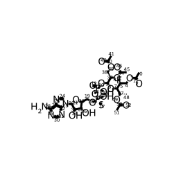 CC(=O)OC[C@H](F)C(OC(OP(=O)(O)OP(O)(=S)OCC1OC(n2cnc3c(N)ncnc32)C(O)C1O)[C@@H](COC(C)=O)OC(C)=O)[C@H](C)OC(C)=O